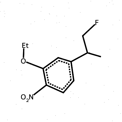 CCOc1cc([C](C)CF)ccc1[N+](=O)[O-]